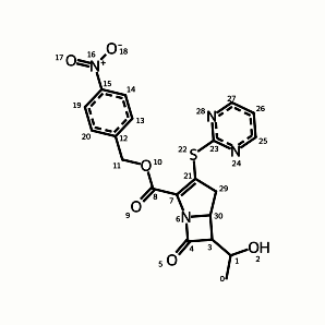 CC(O)C1C(=O)N2C(C(=O)OCc3ccc([N+](=O)[O-])cc3)=C(Sc3ncccn3)CC12